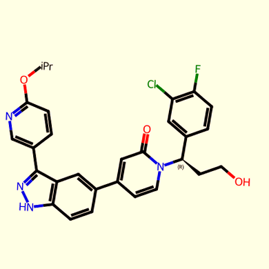 CC(C)Oc1ccc(-c2n[nH]c3ccc(-c4ccn([C@H](CCO)c5ccc(F)c(Cl)c5)c(=O)c4)cc23)cn1